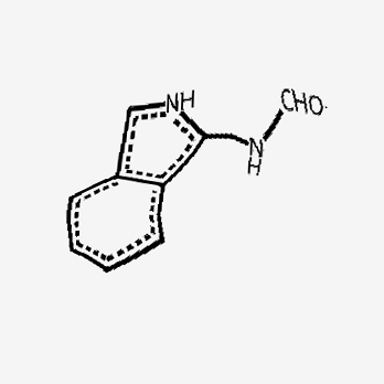 O=[C]Nc1[nH]cc2ccccc12